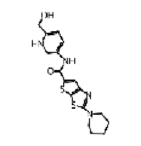 O=C(NC1=CC=C(CO)NC1)c1cc2nc(N3CCCCC3)sc2s1